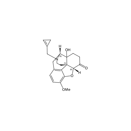 COc1ccc2c3c1O[C@H]1C(=O)CCC4(O)[C@@H](C2)N(CC2=CC2)CC[C@]314